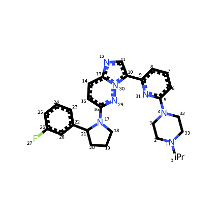 CC(C)N1CCN(c2cccc(-c3cnc4ccc(N5CCCC5c5cccc(F)c5)nn34)n2)CC1